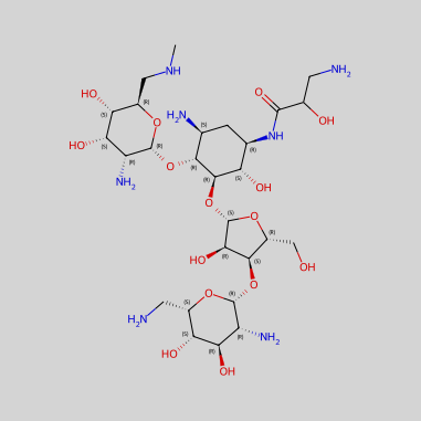 CNC[C@H]1O[C@H](O[C@H]2[C@H](O[C@@H]3O[C@H](CO)[C@@H](O[C@H]4O[C@@H](CN)[C@@H](O)[C@H](O)[C@H]4N)[C@H]3O)[C@@H](O)[C@H](NC(=O)C(O)CN)C[C@@H]2N)[C@H](N)[C@H](O)[C@@H]1O